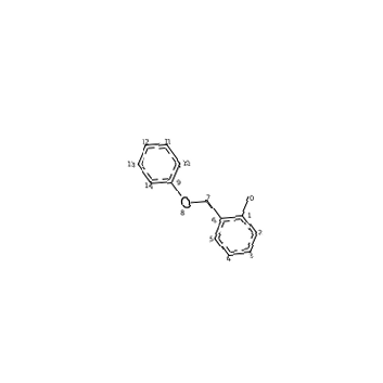 Cc1ccccc1COc1[c]cccc1